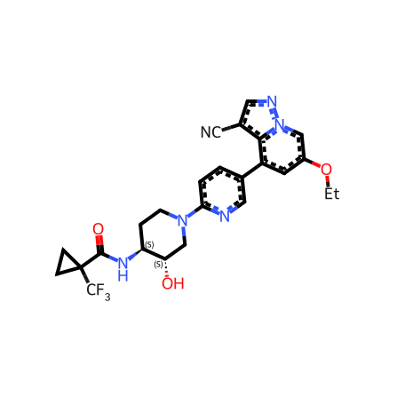 CCOc1cc(-c2ccc(N3CC[C@H](NC(=O)C4(C(F)(F)F)CC4)[C@@H](O)C3)nc2)c2c(C#N)cnn2c1